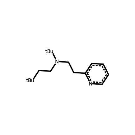 CC(C)(C)CCN(CCc1ccccn1)C(C)(C)C